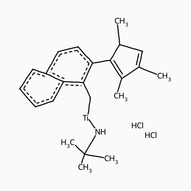 CC1=CC(C)C(c2ccc3ccccc3c2[CH2][Ti][NH]C(C)(C)C)=C1C.Cl.Cl